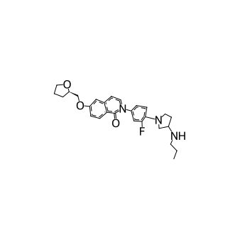 CCCNC1CCN(c2ccc(-n3ccc4cc(OC[C@H]5CCCO5)ccc4c3=O)cc2F)C1